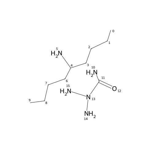 CCCCC(N)CCCC.NC(=O)N(N)N